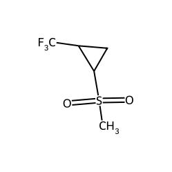 CS(=O)(=O)C1CC1C(F)(F)F